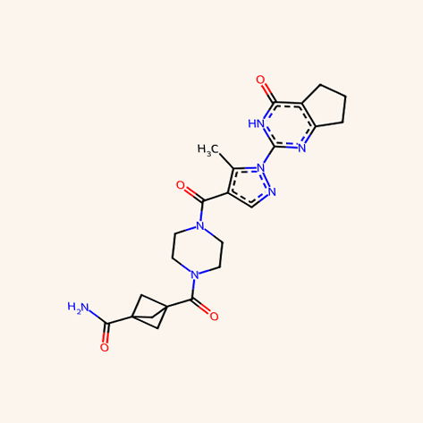 Cc1c(C(=O)N2CCN(C(=O)C34CC(C(N)=O)(C3)C4)CC2)cnn1-c1nc2c(c(=O)[nH]1)CCC2